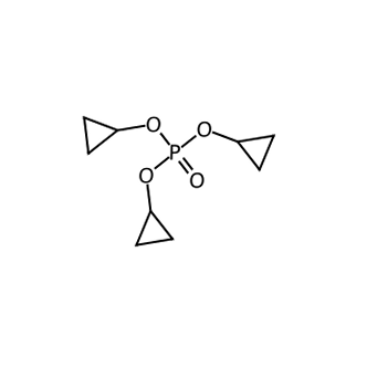 O=P(OC1CC1)(OC1CC1)OC1CC1